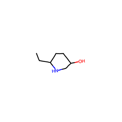 CCC1CCC(O)CN1